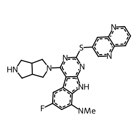 CNc1cc(F)cc2c1[nH]c1nc(Sc3cnc4cccnc4c3)nc(N3CC4CNCC4C3)c12